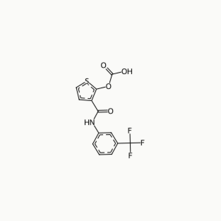 O=C(O)Oc1sccc1C(=O)Nc1cccc(C(F)(F)F)c1